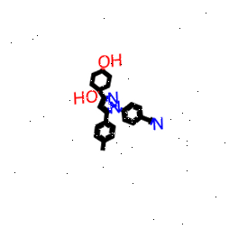 Cc1ccc(-c2cc(C3(O)CCC(O)CC3)nn2-c2ccc(C#N)cc2)cc1